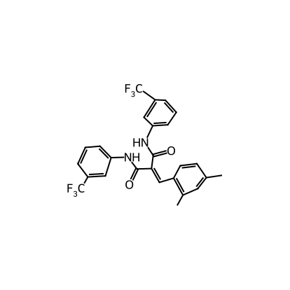 Cc1ccc(C=C(C(=O)Nc2cccc(C(F)(F)F)c2)C(=O)Nc2cccc(C(F)(F)F)c2)c(C)c1